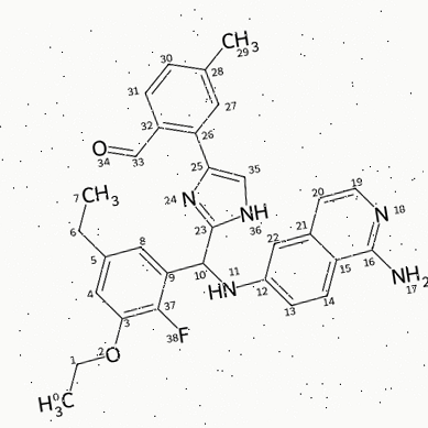 CCOc1cc(CC)cc(C(Nc2ccc3c(N)nccc3c2)c2nc(-c3cc(C)ccc3C=O)c[nH]2)c1F